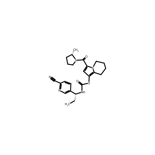 CC[C@@H](NC(=O)Oc1cc(C(=O)N2CCC[C@@H]2C)n2c1CCCC2)c1ccc(C#N)nc1